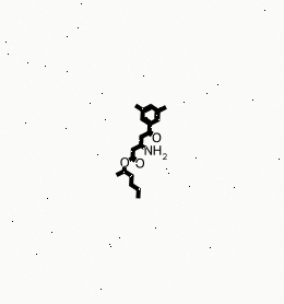 CCCCC(C)OC(=O)CC(N)CC(=O)c1cc(C)cc(C)c1